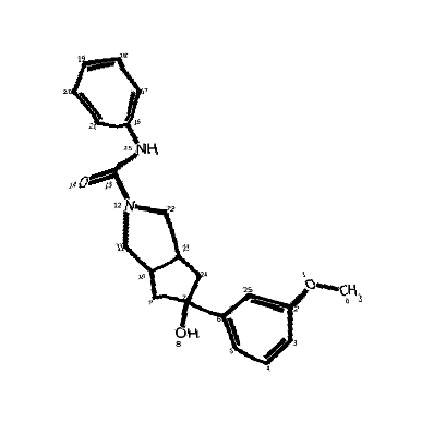 COc1cccc(C2(O)CC3CN(C(=O)Nc4ccccc4)CC3C2)c1